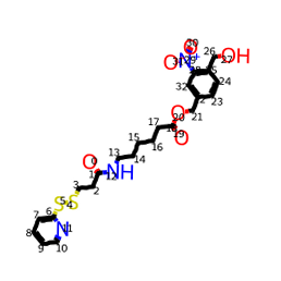 O=C(CCSSc1ccccn1)NCCCCCC(=O)OCc1ccc(CO)c([N+](=O)[O-])c1